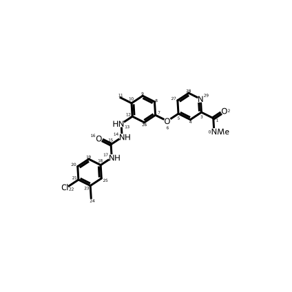 CNC(=O)c1cc(Oc2ccc(C)c(NNC(=O)Nc3ccc(Cl)c(C)c3)c2)ccn1